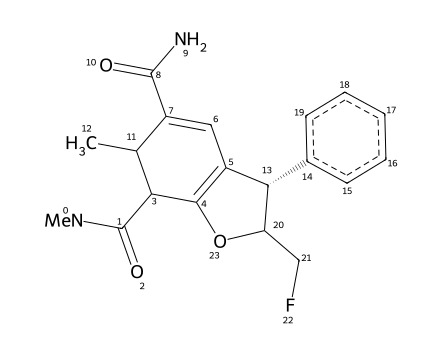 CNC(=O)C1C2=C(C=C(C(N)=O)C1C)[C@H](c1ccccc1)C(CF)O2